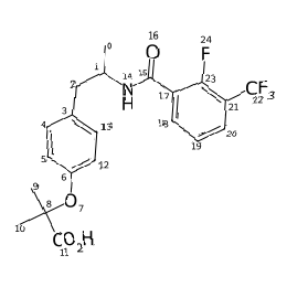 CC(Cc1ccc(OC(C)(C)C(=O)O)cc1)NC(=O)c1cccc(C(F)(F)F)c1F